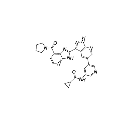 O=C(Nc1cncc(-c2cnc3[nH]nc(-c4nc5c(C(=O)N6CCCC6)ccnc5[nH]4)c3c2)c1)C1CC1